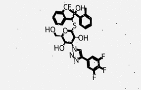 Cc1ccccc1C(C)(O)[C@H](S[C@@H]1O[C@H](CO)[C@H](O)[C@H](n2cc(-c3cc(F)c(F)c(F)c3)nn2)[C@H]1O)c1ccccc1C(F)(F)F